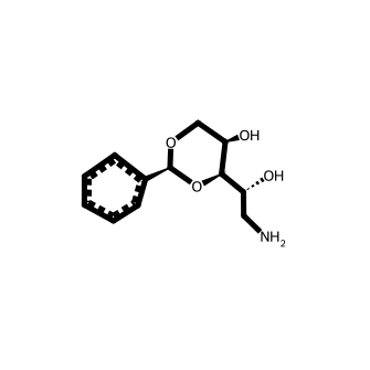 NC[C@@H](O)[C@H]1O[C@@H](c2ccccc2)OC[C@H]1O